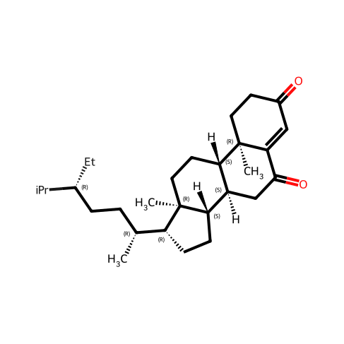 CC[C@H](CC[C@@H](C)[C@H]1CC[C@H]2[C@@H]3CC(=O)C4=CC(=O)CC[C@]4(C)[C@H]3CC[C@]12C)C(C)C